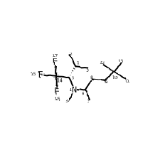 CC(C)[C@H](N(C)C(C)CCC(C)(C)C)C(F)(F)F